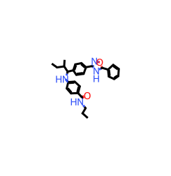 CCCNC(=O)c1ccc(NC(c2ccc(C3=NOC(c4ccccc4)N3)cc2)C(C)CC)cc1